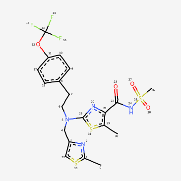 Cc1nc(CN(CCc2ccc(OC(F)(F)F)cc2)c2nc(C(=O)NS(C)(=O)=O)c(C)s2)cs1